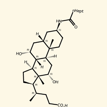 CCCCCCCC(=O)N[C@H]1CC[C@@]2(C)[C@@H](C1)C[C@@H](O)[C@@H]1[C@@H]2C[C@H](O)[C@]2(C)[C@@H]([C@H](C)CCC(=O)O)CC[C@@H]12